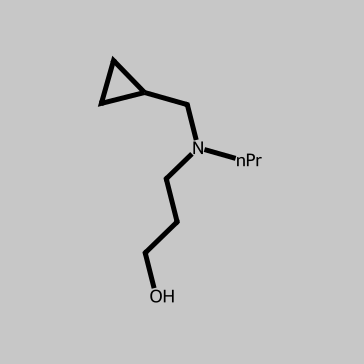 CCCN(CCCO)CC1CC1